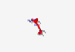 C[C@H]1CCc2cccc3c2N(C1=O)[C@H](C(=O)N[C@@H](CCC(N)=O)[C@@H](C)OCc1ccc(CCCNC(=O)COCCOCCCc2ccc4c(c2)n(C)c(=O)n4C2CCC(=O)N(C)C2=O)cc1)C3